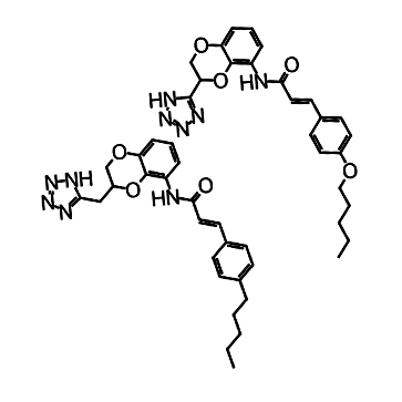 CCCCCOc1ccc(C=CC(=O)Nc2cccc3c2OC(c2nnn[nH]2)CO3)cc1.CCCCCc1ccc(C=CC(=O)Nc2cccc3c2OC(Cc2nnn[nH]2)CO3)cc1